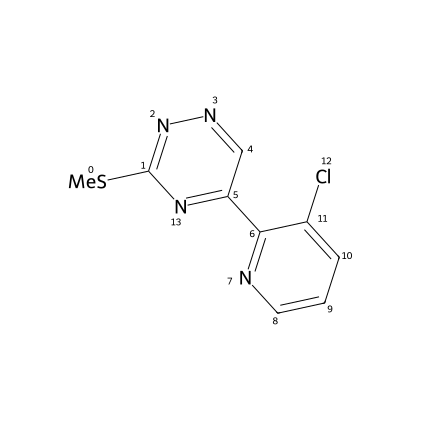 CSc1nncc(-c2ncccc2Cl)n1